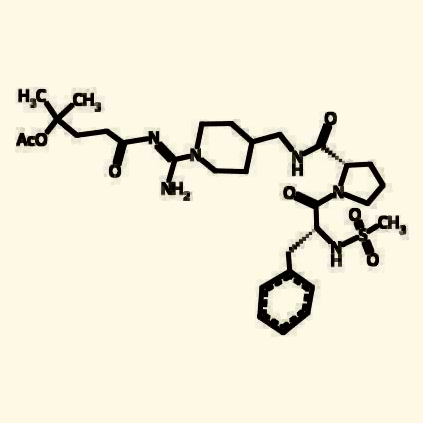 CC(=O)OC(C)(C)CCC(=O)/N=C(\N)N1CCC(CNC(=O)[C@@H]2CCCN2C(=O)[C@@H](Cc2ccccc2)NS(C)(=O)=O)CC1